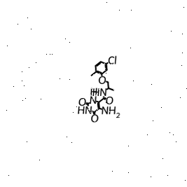 Cc1ccc(Cl)cc1OCC(C)NC(=O)c1[nH]c(=O)[nH]c(=O)c1N